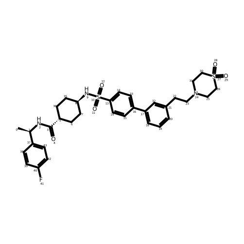 C[C@@H](NC(=O)[C@H]1CC[C@H](NS(=O)(=O)c2ccc(-c3cccc(CCN4CCS(=O)(=O)CC4)c3)cc2)CC1)c1ccc(F)cc1